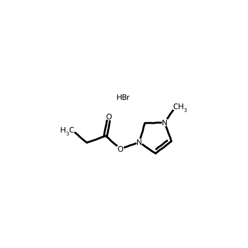 Br.CCC(=O)ON1C=CN(C)C1